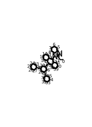 CCc1nc2ccccc2n1-c1c2ccccc2c(-c2cc(-c3ccccc3)cc(-c3ccccc3)c2)c2ccccc12